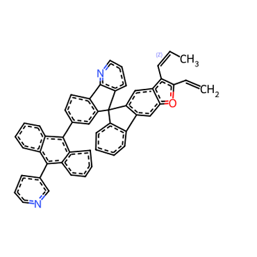 C=Cc1oc2cc3c(cc2c1/C=C\C)C1(c2ccccc2-3)c2cc(-c3c4ccccc4c(-c4cccnc4)c4ccccc34)ccc2-c2ncccc21